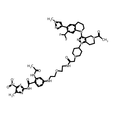 CC(=O)Nc1cc(NCCOCCNC(=O)CN2CCC(n3nc(N4CCCc5cc(-c6cnn(C)c6)c(C(F)F)cc54)c4c3CCN(C(C)=O)C4)CC2)ccc1C(=O)Nc1nc(C)c([N+](=O)[O-])s1